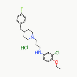 CCOc1ccc(NCCCN2CCC(Cc3ccc(F)cc3)CC2)cc1Cl.Cl